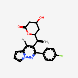 C=C(c1c(-c2ccc(F)cc2)nn2cccc2c1C(C)C)C1CC(O)CC(=O)O1